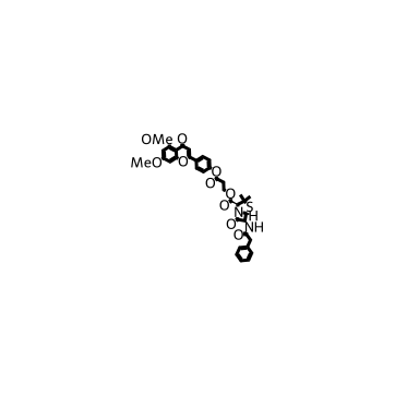 COc1cc(OC)c2c(=O)cc(-c3ccc(OC(=O)CCOC(=O)[C@@H]4N5C(=O)[C@@H](NC(=O)Cc6ccccc6)[C@H]5SC4(C)C)cc3)oc2c1